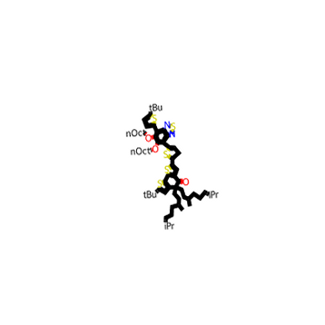 CCCCCCCCOc1c(OCCCCCCCC)c(-c2ccc(C(C)(C)C)s2)c2nsnc2c1C1=CCC(c2cc3c(s2)-c2sc(C(C)(C)C)cc2C(CCC(C)CCCC(C)C)(CCC(C)CCCC(C)C)C3=O)S1